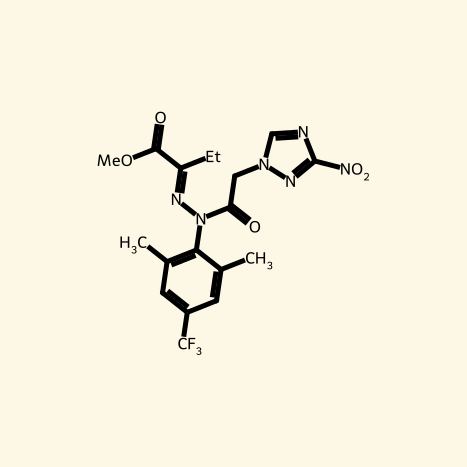 CCC(=NN(C(=O)Cn1cnc([N+](=O)[O-])n1)c1c(C)cc(C(F)(F)F)cc1C)C(=O)OC